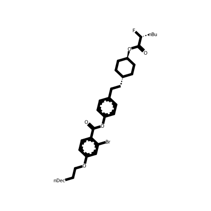 CCCCCCCCCCCCOc1ccc(C(=O)Oc2ccc(CC[C@H]3CC[C@H](OC(=O)[C@H](F)CCCC)CC3)cc2)c(Br)c1